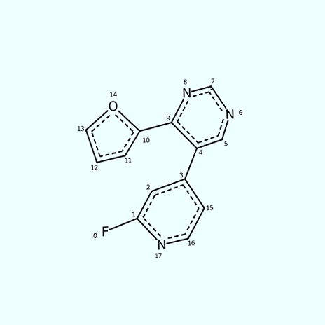 Fc1cc(-c2cn[c]nc2-c2ccco2)ccn1